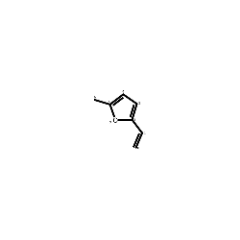 C=[C]c1ccc(C)o1